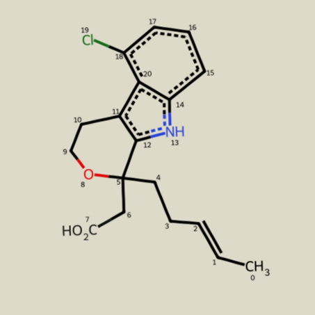 CC=CCCC1(CC(=O)O)OCCc2c1[nH]c1cccc(Cl)c21